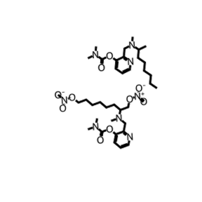 CCCCCCC(C)N(C)Cc1ncccc1OC(=O)N(C)C.CN(C)C(=O)Oc1cccnc1CN(C)C(CCCCCCO[N+](=O)[O-])CO[N+](=O)[O-]